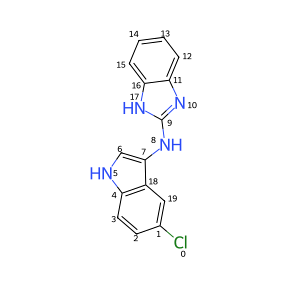 Clc1ccc2[nH]cc(Nc3nc4ccccc4[nH]3)c2c1